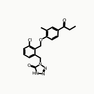 CCC(=O)c1ccc(OCc2c(Cl)cccc2Cn2nn[nH]c2=O)c(C)c1